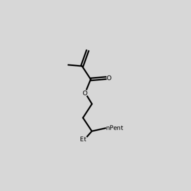 C=C(C)C(=O)OCCC(CC)CCCCC